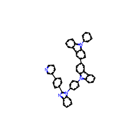 c1ccc(-n2c3ccccc3c3cc(-c4ccc5c(c4)c4ccccc4n5-c4ccc(-n5c(-c6ccc(-c7cccnc7)cc6)nc6ccccc65)cc4)ccc32)cc1